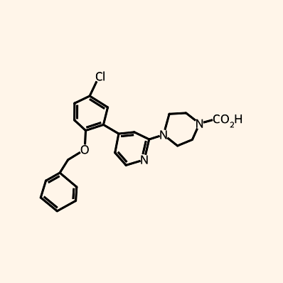 O=C(O)N1CCN(c2cc(-c3cc(Cl)ccc3OCc3ccccc3)ccn2)CC1